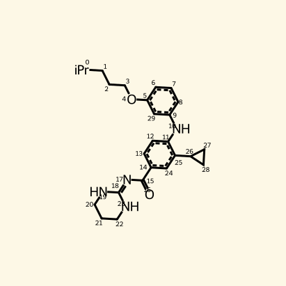 CC(C)CCCOc1cccc(Nc2ccc(C(=O)N=C3NCCCN3)cc2C2CC2)c1